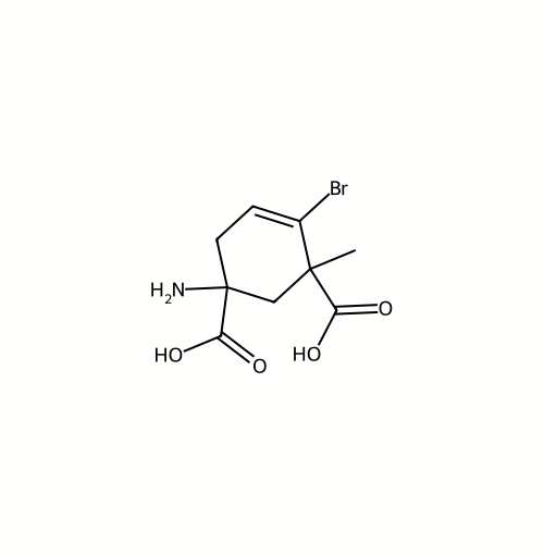 CC1(C(=O)O)CC(N)(C(=O)O)CC=C1Br